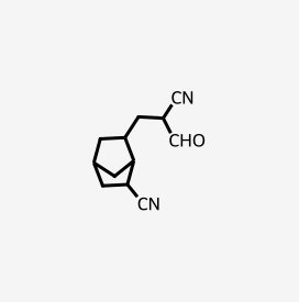 N#CC(C=O)CC1CC2CC(C#N)C1C2